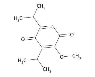 COC1=C(C(C)C)C(=O)C(C(C)C)=CC1=O